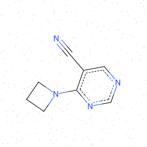 N#Cc1cncnc1N1CCC1